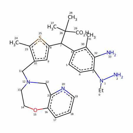 CCN(N)c1ccc(C(c2cc(CN3CCOc4cccnc4C3)c(C)s2)C(C)(C)C(=O)O)c(C)c1N